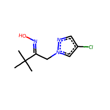 CC(C)(C)C(Cn1cc(Cl)cn1)=NO